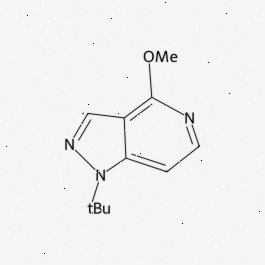 COc1nccc2c1[c]nn2C(C)(C)C